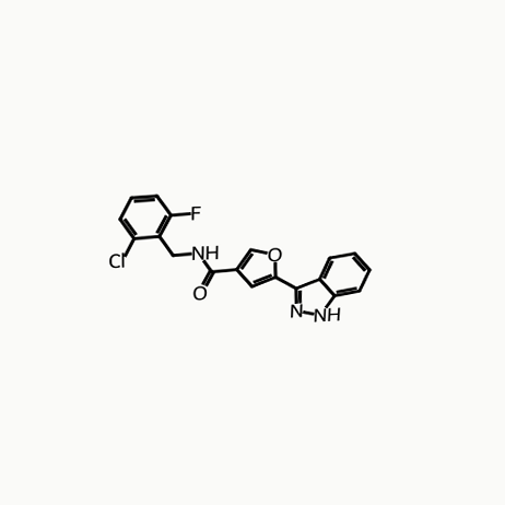 O=C(NCc1c(F)cccc1Cl)c1coc(-c2n[nH]c3ccccc23)c1